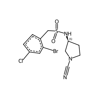 N#CN1CC[C@H](NS(=O)(=O)Cc2ccc(Cl)cc2Br)C1